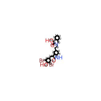 O=C1Nc2ccc(CCN(Cc3ccccc3)C(=O)CO)cc2/C1=C/c1cc(Br)c(O)c(Br)c1